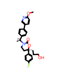 COc1ccc(-c2ccc([C@H](C)N3CC[C@](CCCO)(c4ccc(F)cc4)OC3=O)cc2)cn1